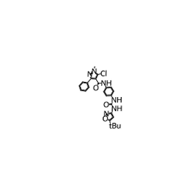 Cn1nc(-c2ccccc2)c(C(=O)Nc2ccc(NC(=O)Nc3cc(C(C)(C)C)on3)cc2)c1Cl